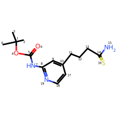 CC(C)(C)OC(=O)Nc1cc(CCCC(N)=S)ccn1